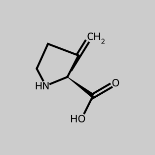 C=C1CCN[C@@H]1C(=O)O